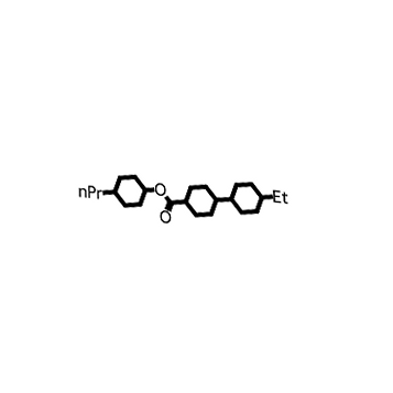 CCCC1CCC(OC(=O)C2CCC(C3CCC(CC)CC3)CC2)CC1